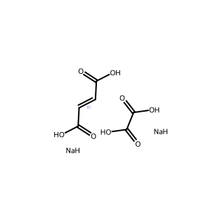 O=C(O)/C=C/C(=O)O.O=C(O)C(=O)O.[NaH].[NaH]